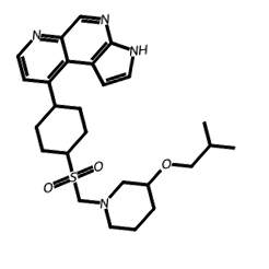 CC(C)COC1CCCN(CS(=O)(=O)C2CCC(c3ccnc4cnc5[nH]ccc5c34)CC2)C1